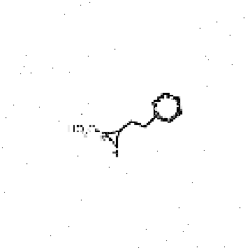 O=C(O)[C@@H]1NC1CCc1ccccc1